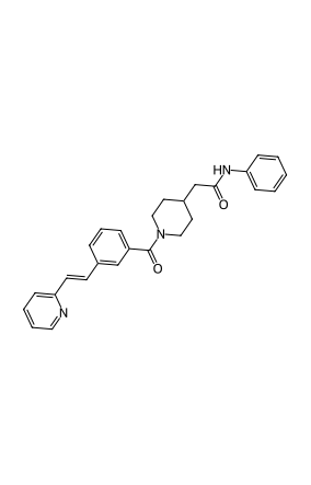 O=C(CC1CCN(C(=O)c2cccc(C=Cc3ccccn3)c2)CC1)Nc1ccccc1